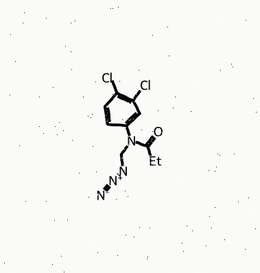 CCC(=O)N(CN=[N+]=[N-])c1ccc(Cl)c(Cl)c1